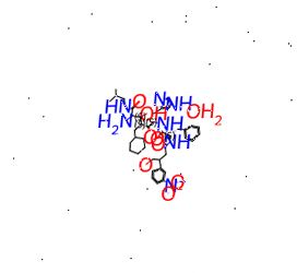 CC(C)CNC(=O)C(N)[C@@H](O)[C@H](CC1CCCCC1)C(=O)[C@H](Cc1c[nH]cn1)NC(=O)[C@H](Cc1ccccc1)NC(=O)CC1COc2ccc([N+](=O)[O-])cc21.O